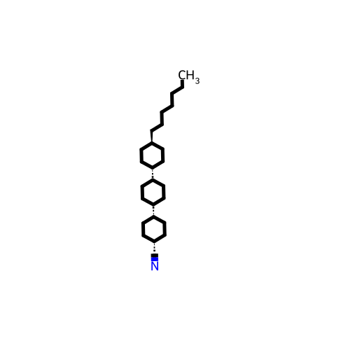 CCCCCCC[C@H]1CC[C@H](C2CCC([C@H]3CC[C@@H](C#N)CC3)CC2)CC1